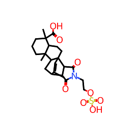 CC1=CC23CCC4C(C)(C(=O)O)CCCC4(C)C2CC1C1C(=O)N(CCOS(=O)(=O)O)C(=O)C13